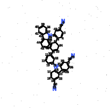 N#Cc1ccc(C2C=CC(c3cccc(-n4c5ccc(C#N)cc5c5ccc(C#N)cc54)c3)=CC2)c(-n2c3ccccc3c3ccccc32)c1